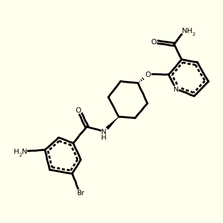 NC(=O)c1cccnc1O[C@H]1CC[C@H](NC(=O)c2cc(N)cc(Br)c2)CC1